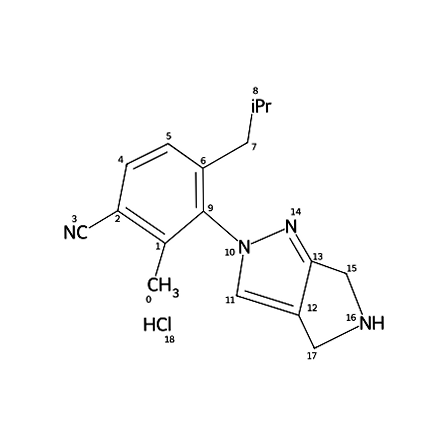 Cc1c(C#N)ccc(CC(C)C)c1-n1cc2c(n1)CNC2.Cl